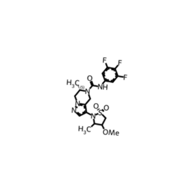 COC1CS(=O)(=O)N(c2cnn3c2CN(C(=O)Nc2cc(F)c(F)c(F)c2)[C@@H](C)C3)C1C